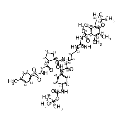 Cc1ccc(S(=O)(=O)NCC(=O)C2CCC[C@H]2C(=O)N[C@@H](CCCNC(=N)NS(=O)(=O)c2c(C)c(C)c3c(c2C)CC(C)(C)O3)C(=O)Nc2ccc(NC(=O)OC(C)(C)C)cc2)cc1